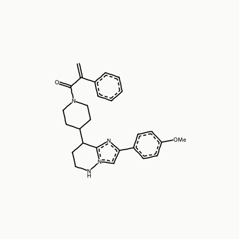 C=C(C(=O)N1CCC(C2CCNn3cc(-c4ccc(OC)cc4)nc32)CC1)c1ccccc1